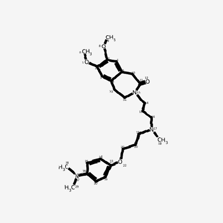 COc1cc2c(cc1OC)CC(=O)N(CCCN(C)CCCOc1ccc(N(C)C)cc1)CC2